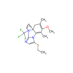 CCSc1cnc2n1C1=C(C)C(OC)=C(C)CC13C=CC=C[N+]23C(F)(F)F